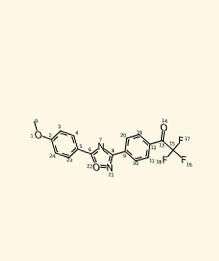 COc1ccc(-c2nc(-c3ccc(C(=O)C(F)(F)F)cc3)no2)cc1